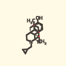 CC[C@@]12CCC(C)C[C@@]13CCN(CC1CC1)[C@@H]2Cc1ccc(O)cc13